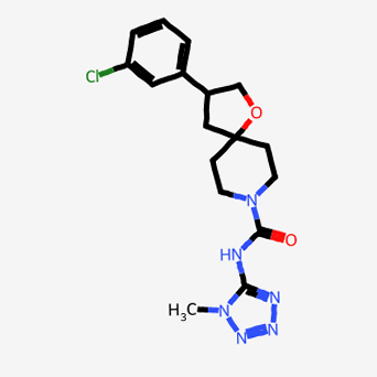 Cn1nnnc1NC(=O)N1CCC2(CC1)CC(c1cccc(Cl)c1)CO2